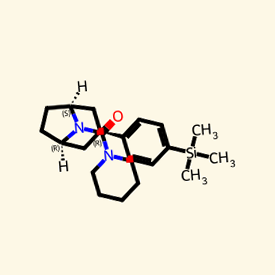 C[Si](C)(C)c1ccc([C@H]2C[C@H]3CC[C@@H](C2)N3C(=O)N2CCCCC2)cc1